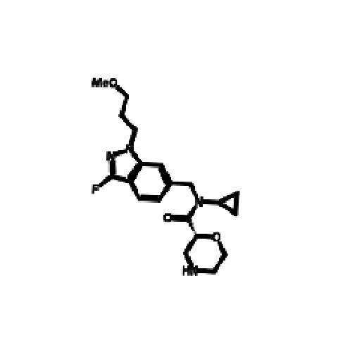 COCCCn1nc(F)c2ccc(CN(C(=O)[C@H]3CNCCO3)C3CC3)cc21